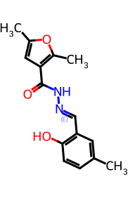 Cc1ccc(O)c(/C=N/NC(=O)c2cc(C)oc2C)c1